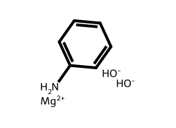 Nc1ccccc1.[Mg+2].[OH-].[OH-]